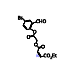 CCOC(=O)/C=C\C(=O)OCC(=O)Oc1ccc(Br)cc1C=O